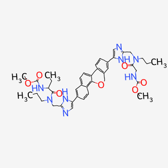 CCCN(Cc1ncc(-c2ccc3c(c2)COc2c-3ccc3cc(-c4cnc(CN(CCC)C(=O)C(CC)NC(=O)OC)[nH]4)ccc23)[nH]1)C(=O)CNC(=O)OC